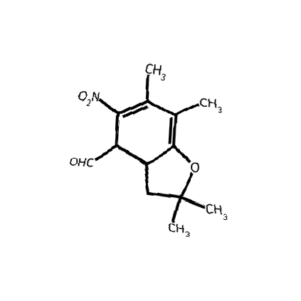 CC1=C2OC(C)(C)CC2C(C=O)C([N+](=O)[O-])=C1C